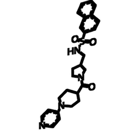 O=C(C1CCN(c2ccncc2)CC1)N1CCC(CNS(=O)(=O)c2ccc3cc(Cl)ccc3c2)C1